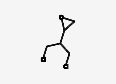 ClCC(CCl)C1CO1